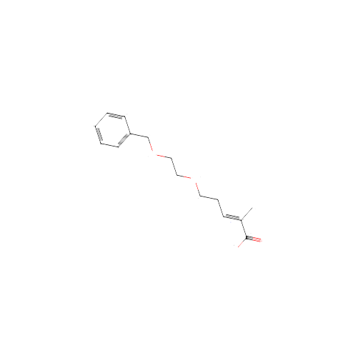 C/C(=C\CCOCCOCc1ccccc1)C(=O)O